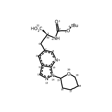 CC(C)(C)OC(=O)N[C@@H](Cc1cnc2c(cnn2C2CCCCO2)c1)C(=O)O